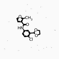 Cc1occc1C(=O)Nc1ccc(Cl)c(C2OCCO2)c1